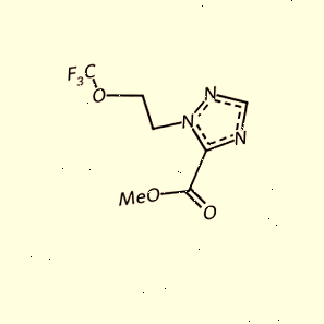 COC(=O)c1ncnn1CCOC(F)(F)F